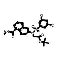 CNC(=O)c1cccc2cc(N(CC(=O)OC(C)(C)C)S(=O)(=O)c3cc(Cl)cc(Cl)c3)ccc12